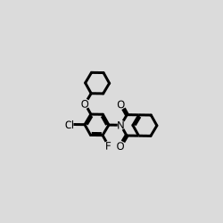 O=C1C2=CC(CCC2)C(=O)N1c1cc(OC2CCCCC2)c(Cl)cc1F